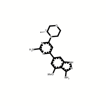 COc1cc(-c2cc(N3CCOC[C@H]3C)nc(N)n2)cc2[nH]nc(N)c12